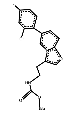 CC(C)(C)OC(=O)NCCc1cnc2ccc(-c3ccc(F)cc3O)cn12